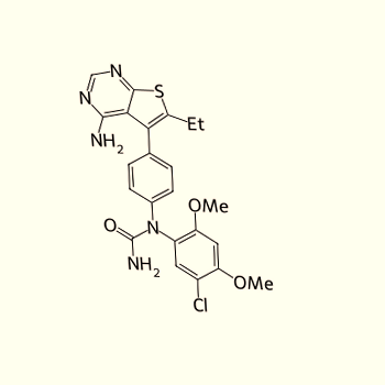 CCc1sc2ncnc(N)c2c1-c1ccc(N(C(N)=O)c2cc(Cl)c(OC)cc2OC)cc1